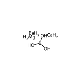 OB(O)O.[BaH2].[CaH2].[MgH2]